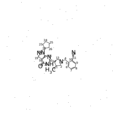 C[C@@H]1CN(Cc2ccccc2C#N)C[C@H]1c1nc2c(cnn2C2CCCC2)c(=O)[nH]1